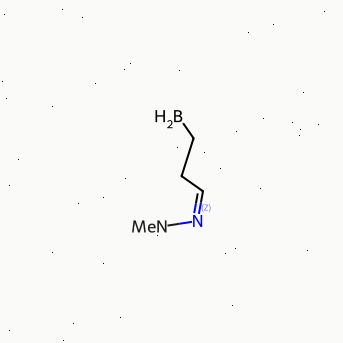 BCC/C=N\NC